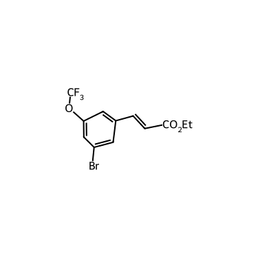 CCOC(=O)C=Cc1cc(Br)cc(OC(F)(F)F)c1